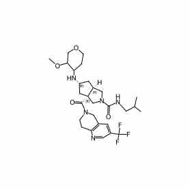 COC1COCCC1N[C@@H]1C[C@H]2CN(C(=O)NCC(C)C)C[C@@]2(C(=O)N2CCc3ncc(C(F)(F)F)cc3C2)C1